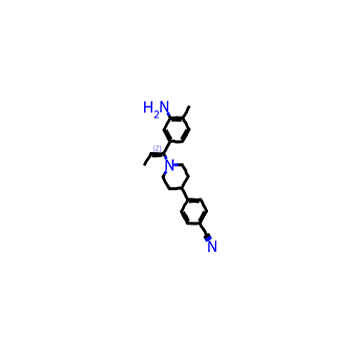 C/C=C(/c1ccc(C)c(N)c1)N1CCC(c2ccc(C#N)cc2)CC1